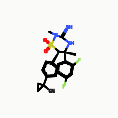 CN1C(=N)N[C@](C)(c2ccc(F)cc2F)[C@@H](c2ccc(C3(C#N)CC3)cc2)S1(=O)=O